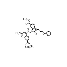 CCN(CC)c1ccc(N(CC(N)=O)C(=O)Cn2c(=O)n(CCCOc3ccccc3)c3ccc(C(=O)OC)cc32)cc1